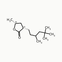 CC(CC[C@H]1C[C@@H](C)OC1=O)CC(C)(C)C